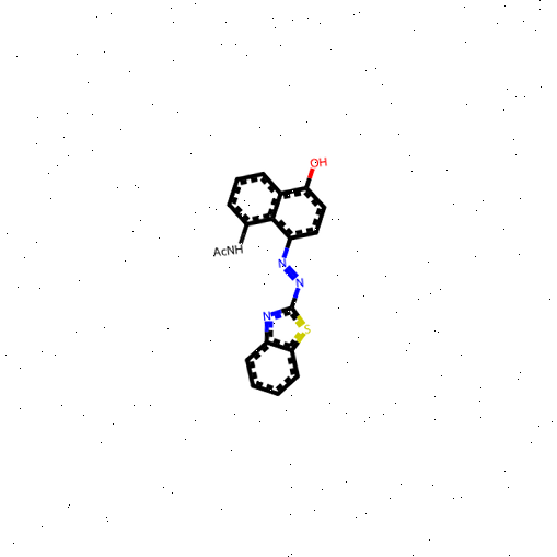 CC(=O)Nc1cccc2c(O)ccc(/N=N/c3nc4ccccc4s3)c12